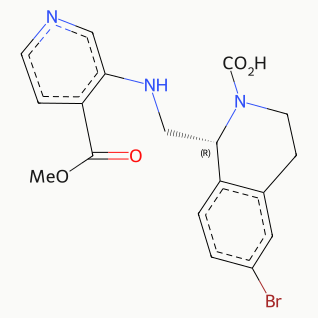 COC(=O)c1ccncc1NC[C@H]1c2ccc(Br)cc2CCN1C(=O)O